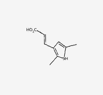 Cc1cc(C=CC(=O)O)c(C)[nH]1